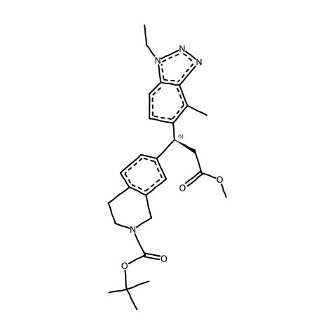 CCn1nnc2c(C)c([C@@H](CC(=O)OC)c3ccc4c(c3)CN(C(=O)OC(C)(C)C)CC4)ccc21